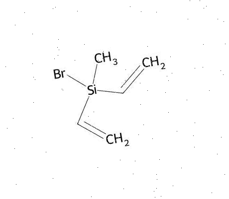 C=C[Si](C)(Br)C=C